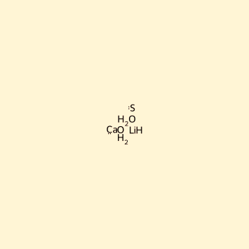 O.O.[Ca].[LiH].[S]